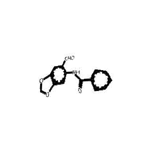 O=Cc1cc2c(cc1NC(=O)c1ccccc1)OCO2